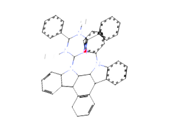 CN1C(c2ccccc2)=NC(N2C3C=CC=CC3C3C4=C(C=CCC4)C4c5ccccc5N(c5ccccc5)C4C32)N(C)C1c1ccccc1